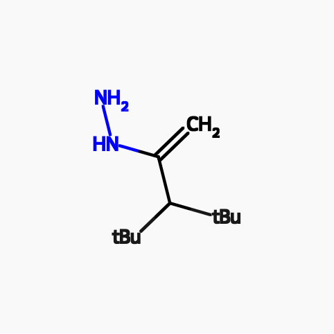 C=C(NN)C(C(C)(C)C)C(C)(C)C